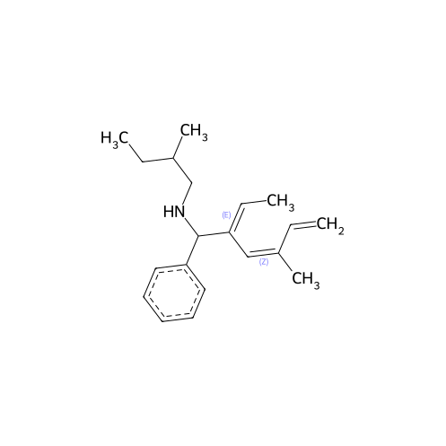 C=C/C(C)=C\C(=C/C)C(NCC(C)CC)c1ccccc1